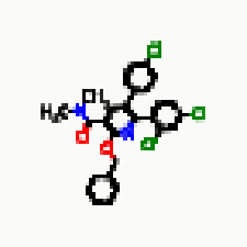 CN(C)C(=O)c1cc(-c2ccc(Cl)cc2)c(-c2ccc(Cl)cc2Cl)nc1OCc1ccccc1